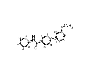 NCc1ccnc(-c2ccc(C(=O)Nc3ccccc3)cc2)c1